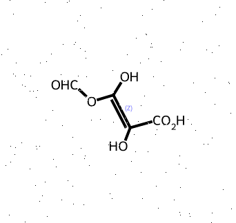 O=CO/C(O)=C(\O)C(=O)O